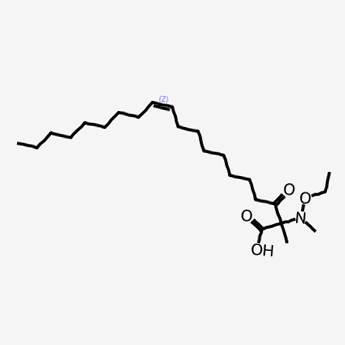 CCCCCCCC/C=C\CCCCCCCC(=O)C(C)(C(=O)O)N(C)OCC